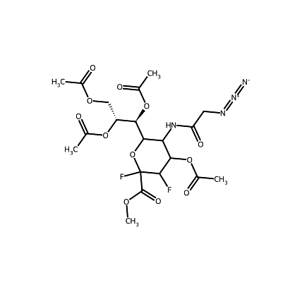 COC(=O)C1(F)OC([C@H](OC(C)=O)[C@@H](COC(C)=O)OC(C)=O)C(NC(=O)CN=[N+]=[N-])C(OC(C)=O)C1F